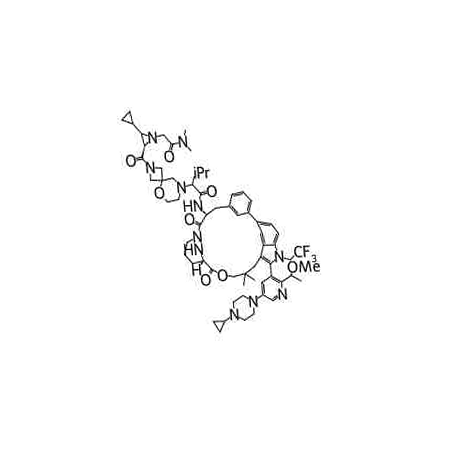 CO[C@@H](C)c1ncc(N2CCN(C3CC3)CC2)cc1-c1c2c3cc(ccc3n1CC(F)(F)F)-c1cccc(c1)C[C@H](NC(=O)C(C(C)C)N1CCOC3(CN(C(=O)[C@H]4C(C5CC5)N4CC(=O)N(C)C)C3)C1)C(=O)N1CCC[C@H](N1)C(=O)OCC(C)(C)C2